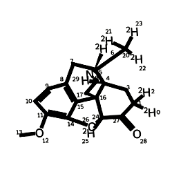 [2H]C1([2H])C[C@H]2[C@@]3([2H])Cc4ccc(OC)c5c4[C@@]2(CCN3C([2H])([2H])[2H])C([2H])(O5)C1=O